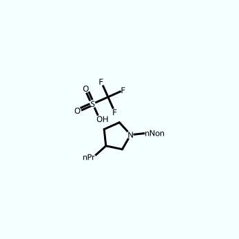 CCCCCCCCCN1CCC(CCC)C1.O=S(=O)(O)C(F)(F)F